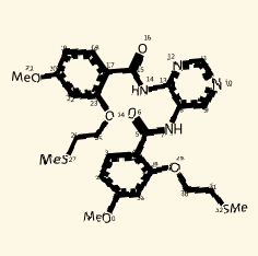 COc1ccc(C(=O)Nc2cncnc2NC(=O)c2ccc(OC)cc2OCCSC)c(OCCSC)c1